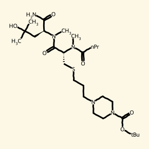 CCCC(=O)N(C)[C@H](CSCCCN1CCN(C(=O)OC(C)(C)C)CC1)C(=O)N(C)[C@@H](CC(C)(C)O)C(N)=O